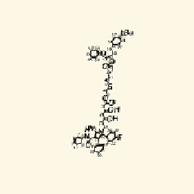 CC(C)c1c(C(=O)Nc2ccccc2)c(-c2ccccc2)c(-c2ccc(F)cc2)n1CC[C@@H](O)C[C@@H](O)CC(=O)OCCSSCCOC(=O)OC(CCc1ccc(C(C)(C)C)cc1)COc1ccccc1